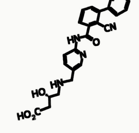 N#Cc1c(C(=O)Nc2ccc(CNC[C@@H](O)CC(=O)O)cn2)cccc1-c1ccccc1